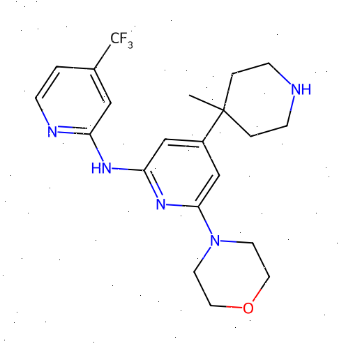 CC1(c2cc(Nc3cc(C(F)(F)F)ccn3)nc(N3CCOCC3)c2)CCNCC1